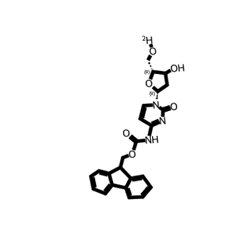 [2H]OC[C@H]1O[C@@H](n2ccc(NC(=O)OCC3c4ccccc4-c4ccccc43)nc2=O)CC1O